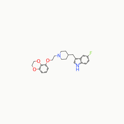 Fc1ccc2[nH]cc(CC3CCN(CCOc4cccc5c4OCCO5)CC3)c2c1